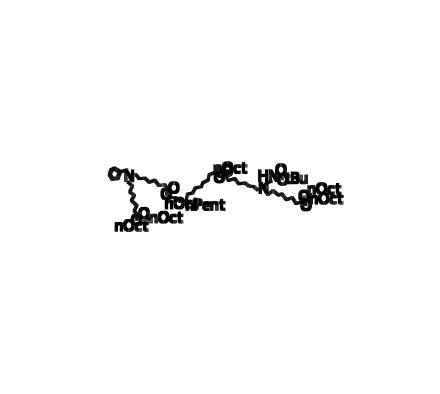 CCCCCCCCC(CCCCCCCC)OC(=O)CCCCCCCN(CCCCCCCC(=O)OC(CCCCCCCC)CCCCCCCC(CCCCC)CCC(CCCCCCCC)OC(=O)CCCCCCCN(CCCCCCCC(=O)OC(CCCCCCCC)CCCCCCCC)Cc1ccccc1)CCNC(=O)OC(C)(C)C